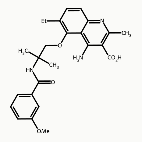 CCc1ccc2nc(C)c(C(=O)O)c(N)c2c1OCC(C)(C)NC(=O)c1cccc(OC)c1